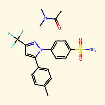 CC(=O)N(C)C.Cc1ccc(-c2cc(C(F)(F)F)nn2-c2ccc(S(N)(=O)=O)cc2)cc1